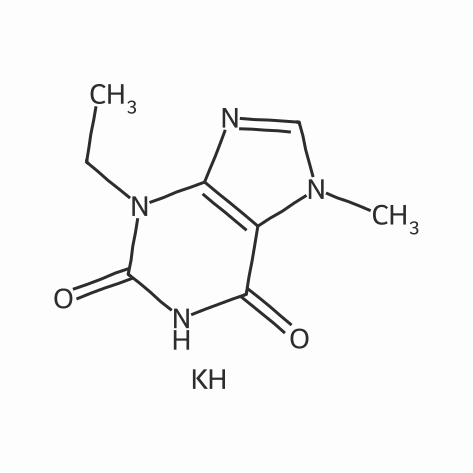 CCn1c(=O)[nH]c(=O)c2c1ncn2C.[KH]